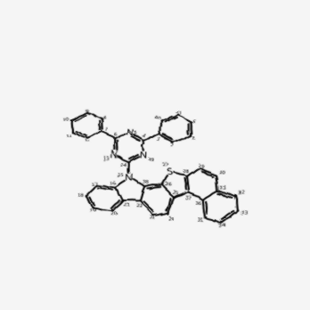 c1ccc(-c2nc(-c3ccccc3)nc(-n3c4ccccc4c4ccc5c(sc6ccc7ccccc7c65)c43)n2)cc1